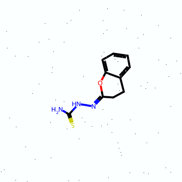 NC(=S)NN=C1CCc2ccccc2O1